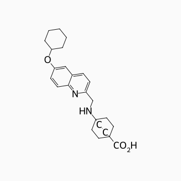 O=C(O)C12CCC(NCc3ccc4cc(OC5CCCCC5)ccc4n3)(CC1)CC2